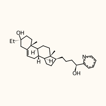 CC[C@]1(O)CC[C@@]2(C)C(=CC[C@H]3[C@@H]4CC[C@H](CCC[C@H](O)c5ccccn5)[C@@]4(C)CC[C@@H]32)C1